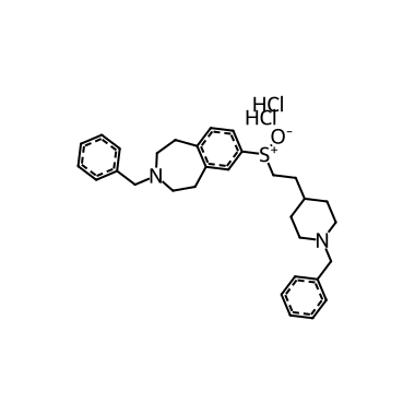 Cl.Cl.[O-][S+](CCC1CCN(Cc2ccccc2)CC1)c1ccc2c(c1)CCN(Cc1ccccc1)CC2